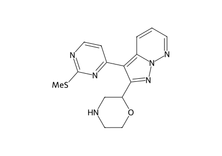 CSc1nccc(-c2c(C3CNCCO3)nn3ncccc23)n1